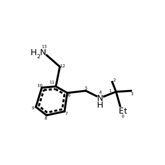 CCC(C)(C)NCc1ccccc1CN